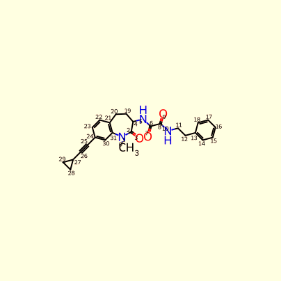 CN1C(=O)C(NC(=O)C(=O)NCCc2ccccc2)CCc2ccc(C#CC3CC3)cc21